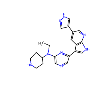 CCN(c1cncc(-c2c[nH]c3ncc(-c4cn[nH]c4)cc23)n1)C1CCNCC1